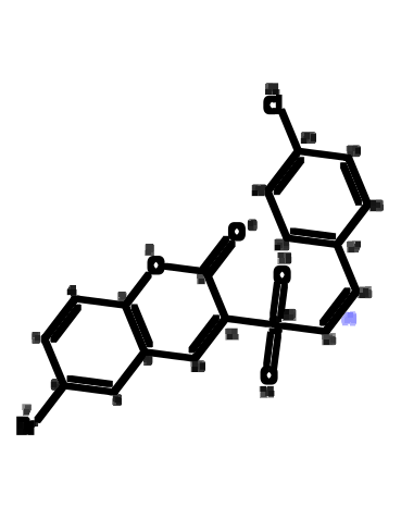 O=c1oc2ccc(Br)cc2cc1S(=O)(=O)/C=C\c1ccc(Cl)cc1